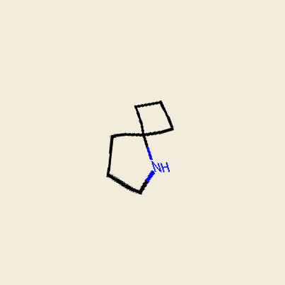 C1CNC2(C1)CCC2